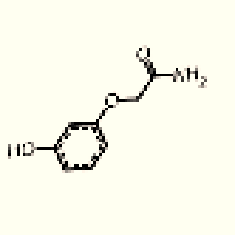 NC(=O)COc1cccc(O)c1